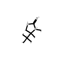 CN1C(=O)OCC1(C)C(C)(C)C